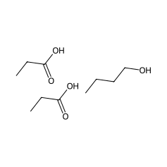 CCC(=O)O.CCC(=O)O.CCCCO